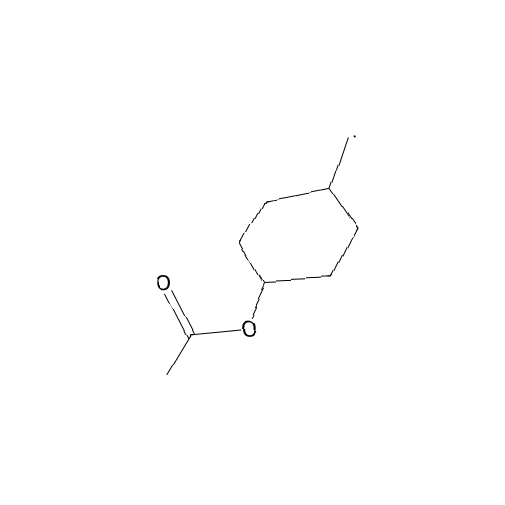 [CH2]C1CCC(OC(C)=O)CC1